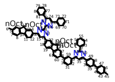 CCCCCCCCC1(CCCCCCCC)c2cc(C)ccc2-c2ccc(-c3cc(-c4ccc5c(c4)C(CCCCCCCC)(CCCCCCCC)c4cc(-c6cccc(-c7cc(-c8ccc(-c9ccc(C)cc9)cc8)nc(-c8ccccc8)n7)c6)ccc4-5)nc(-c4nc(-c5ccccc5)cc(-c5ccccc5)n4)n3)cc21